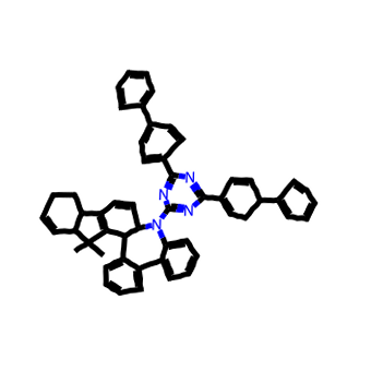 CC1(C)C2=C(C=CC3C2c2ccccc2-c2ccccc2N3c2nc(C3=CCC(c4ccccc4)C=C3)nc(-c3ccc(-c4ccccc4)cc3)n2)C2CCC=CC21